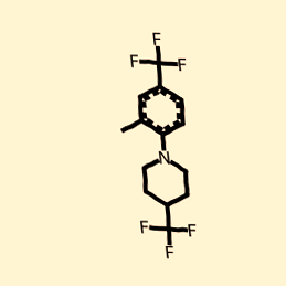 Cc1cc(C(F)(F)F)ccc1N1CCC(C(F)(F)F)CC1